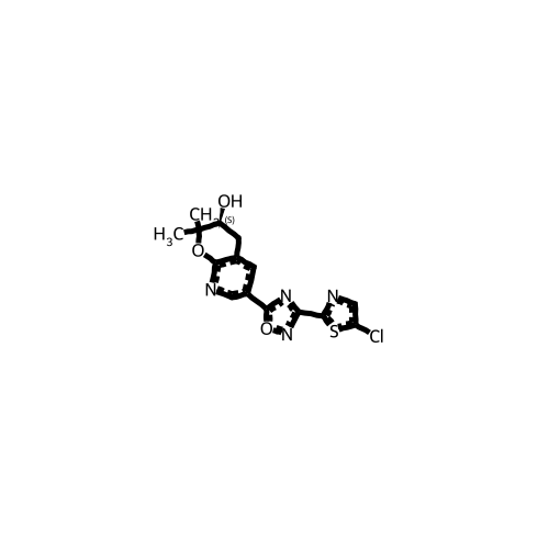 CC1(C)Oc2ncc(-c3nc(-c4ncc(Cl)s4)no3)cc2C[C@@H]1O